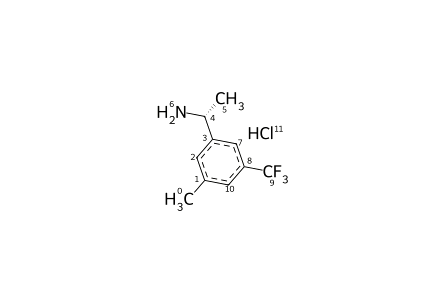 Cc1cc([C@@H](C)N)cc(C(F)(F)F)c1.Cl